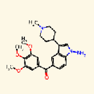 COc1cc(C(=O)c2ccc3c(c2)c(C2CCN(C)CC2)cn3N)cc(OC)c1OC